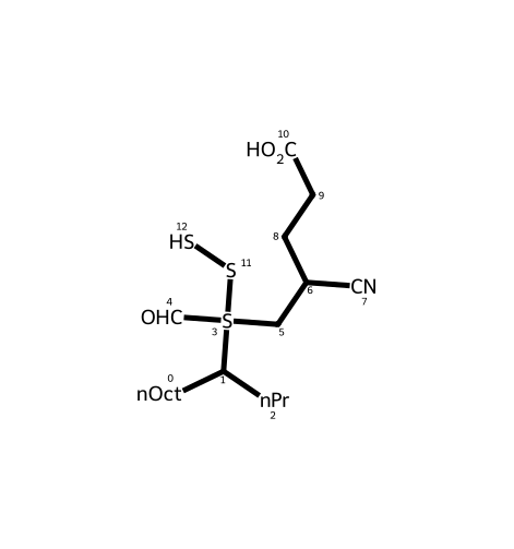 CCCCCCCCC(CCC)S(C=O)(CC(C#N)CCC(=O)O)SS